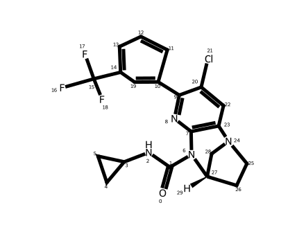 O=C(NC1CC1)N1c2nc(-c3cccc(C(F)(F)F)c3)c(Cl)cc2N2CC[C@H]1C2